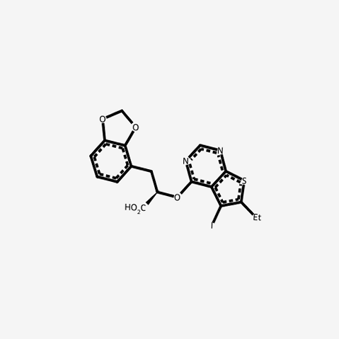 CCc1sc2ncnc(O[C@H](Cc3cccc4c3OCO4)C(=O)O)c2c1I